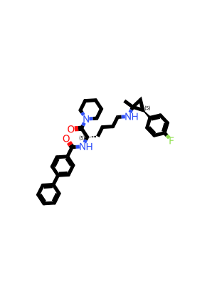 CC1(NCCCC[C@H](NC(=O)c2ccc(-c3ccccc3)cc2)C(=O)N2CCCCC2)C[C@H]1c1ccc(F)cc1